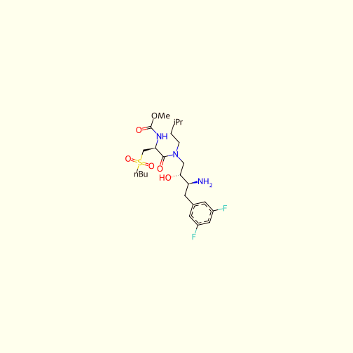 CCCCS(=O)(=O)C[C@@H](NC(=O)OC)C(=O)N(CCC(C)C)C[C@@H](O)[C@@H](N)Cc1cc(F)cc(F)c1